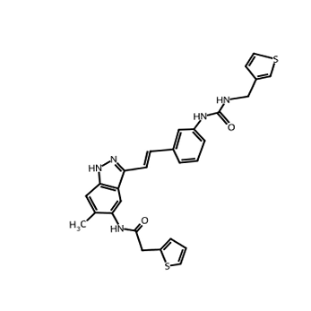 Cc1cc2[nH]nc(C=Cc3cccc(NC(=O)NCc4ccsc4)c3)c2cc1NC(=O)Cc1cccs1